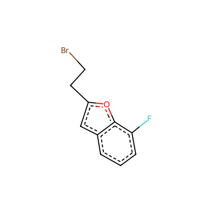 Fc1cccc2cc(CCBr)oc12